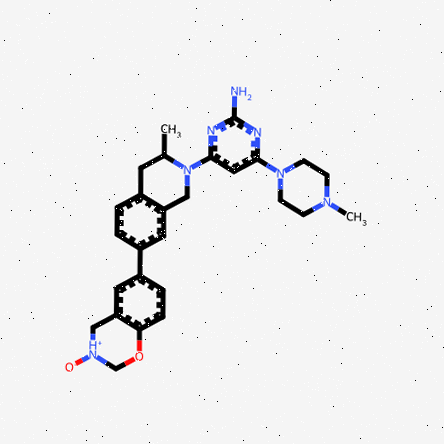 CC1Cc2ccc(-c3ccc4c(c3)C[NH+]([O-])CO4)cc2CN1c1cc(N2CCN(C)CC2)nc(N)n1